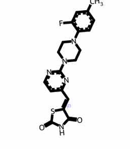 Cc1ccc(N2CCN(c3nccc(/C=C4\SC(=O)NC4=O)n3)CC2)c(F)c1